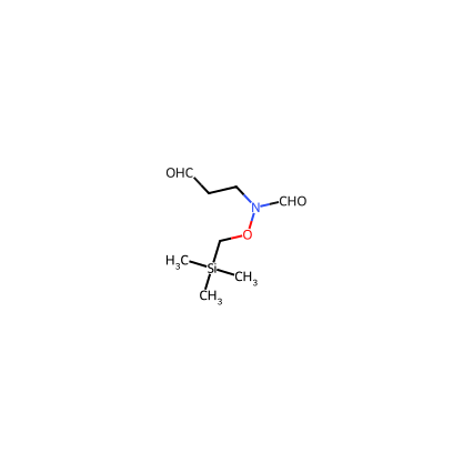 C[Si](C)(C)CON(C=O)CCC=O